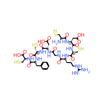 N=C(N)NCCC[C@H](NC(=O)[C@H](CS)NC(=O)[C@H](CC(=O)O)NC(=O)[C@@H](N)CS)C(=O)NCC(=O)N[C@@H](CC(=O)O)C(=O)N[C@@H](CS)C(=O)N[C@@H](Cc1ccccc1)C(=O)N[C@@H](CS)C(=O)O